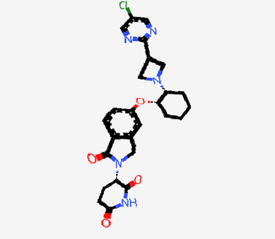 O=C1CC[C@H](N2Cc3cc(O[C@H]4CCCC[C@H]4N4CC(c5ncc(Cl)cn5)C4)ccc3C2=O)C(=O)N1